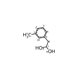 Cc1[c]ccc(CC(O)O)c1